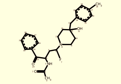 CC(=O)NC(CC(F)N1CCC(O)(Cc2ccc(C)cc2)CC1)C(=O)c1ccccc1